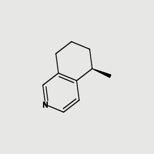 C[C@@H]1CCCc2cnccc21